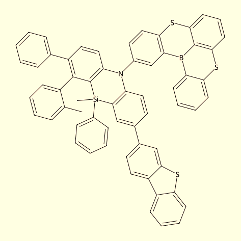 Cc1ccccc1-c1c(-c2ccccc2)ccc2c1[Si](C)(c1ccccc1)c1cc(-c3ccc4c(c3)sc3ccccc34)ccc1N2c1ccc2c(c1)B1c3ccccc3Sc3cccc(c31)S2